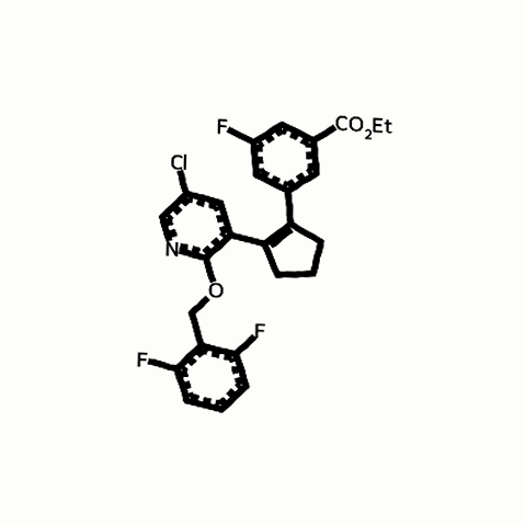 CCOC(=O)c1cc(F)cc(C2=C(c3cc(Cl)cnc3OCc3c(F)cccc3F)CCC2)c1